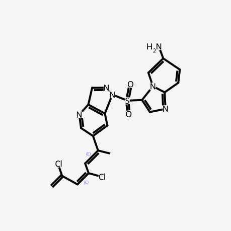 C=C(Cl)/C=C(Cl)\C=C(/C)c1cnc2cnn(S(=O)(=O)c3cnc4ccc(N)cn34)c2c1